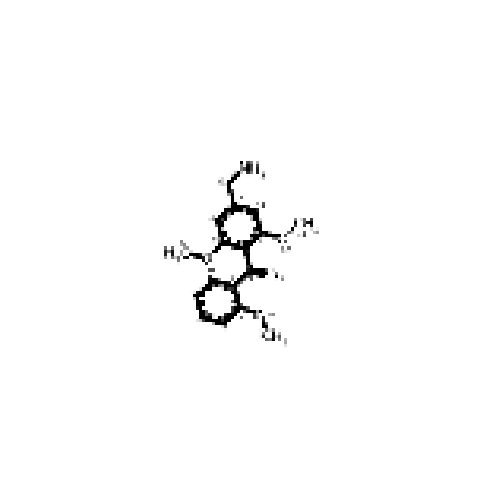 CNc1ccccc1C(=O)c1c(OC)cc(CN)cc1OC